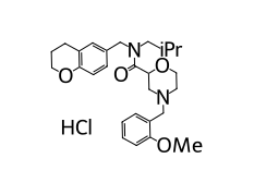 COc1ccccc1CN1CCOC(C(=O)N(Cc2ccc3c(c2)CCCO3)CC(C)C)C1.Cl